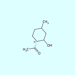 CC(=O)[C@@H]1CCC(C)CC1O